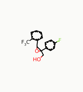 OCC1(c2ccc(F)cc2)OC1c1ccccc1C(F)(F)F